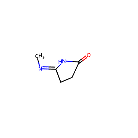 C/N=C1/CCC(=O)N1